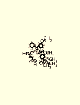 CCOc1ccc2c(c1)n(C1CCCCC1)c(=O)n2S(=O)(=O)c1ccc(N(C(C)=O)N(CC)CC)cc1OC.O=C(O)C=CC(=O)O